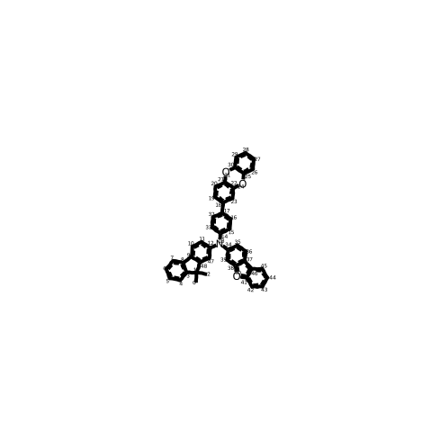 CC1(C)c2ccccc2-c2ccc(N(c3ccc(-c4ccc5c(c4)Oc4ccccc4O5)cc3)c3ccc4c(c3)oc3ccccc34)cc21